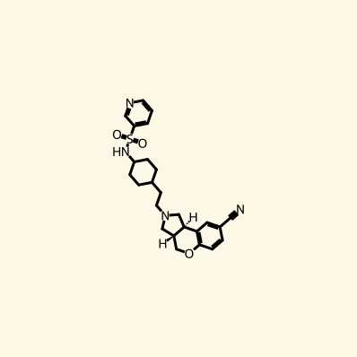 N#Cc1ccc2c(c1)[C@@H]1CN(CCC3CCC(NS(=O)(=O)c4cccnc4)CC3)C[C@H]1CO2